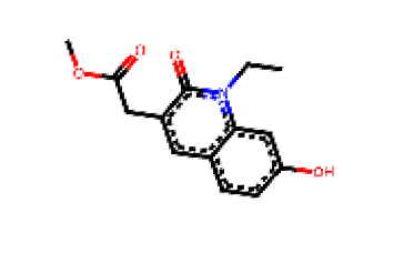 CCn1c(=O)c(CC(=O)OC)cc2ccc(O)cc21